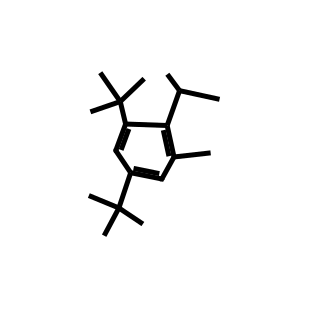 Cc1cc(C(C)(C)C)cc(C(C)(C)C)c1C(C)C